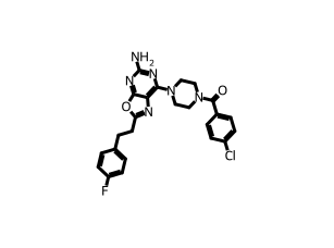 Nc1nc(N2CCN(C(=O)c3ccc(Cl)cc3)CC2)c2nc(CCc3ccc(F)cc3)oc2n1